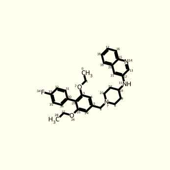 CCOc1cc(CN2CCC(Nc3cnc4ccccc4c3)CC2)cc(OCC)c1-c1ccc(F)cc1